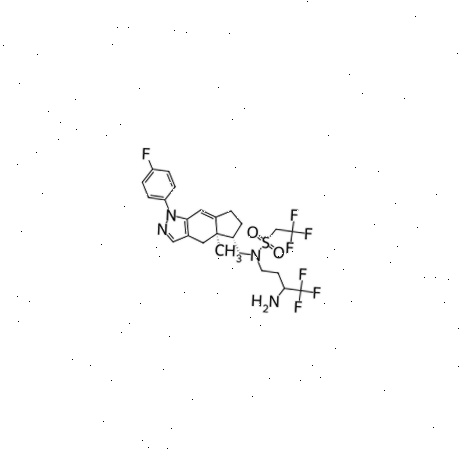 C[C@]12Cc3cnn(-c4ccc(F)cc4)c3C=C1CC[C@@H]2CN(CCC(N)C(F)(F)F)S(=O)(=O)CC(F)(F)F